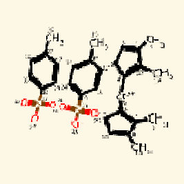 CC1=CC[C]([Zr+2][C]2=C(C)C(C)=CC2)=C1C.Cc1ccc(S(=O)(=O)[O-])cc1.Cc1ccc(S(=O)(=O)[O-])cc1